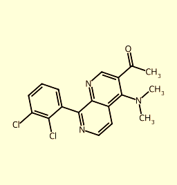 CC(=O)c1cnc2c(-c3cccc(Cl)c3Cl)nccc2c1N(C)C